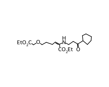 CCOC(=O)COCCC/C=C(/NCCC(=O)C1CCCCC1)C(=O)OCC